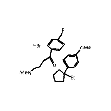 Br.CCC1(c2ccc(OC)cc2)CCCC1.CNCCCC(=O)c1ccc(F)cc1